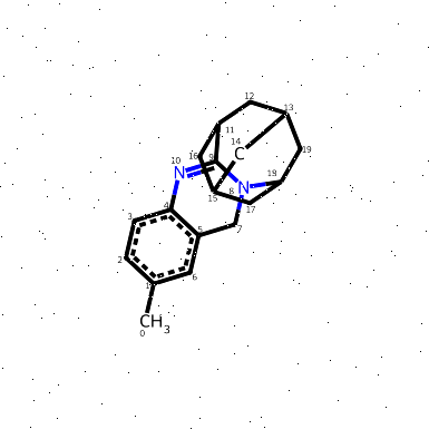 Cc1ccc2c(c1)CN1C(=N2)C2CC3CC(C2)CC1C3